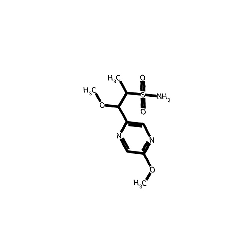 COc1cnc(C(OC)C(C)S(N)(=O)=O)cn1